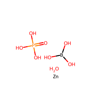 O.O=P(O)(O)O.OB(O)O.[Zn]